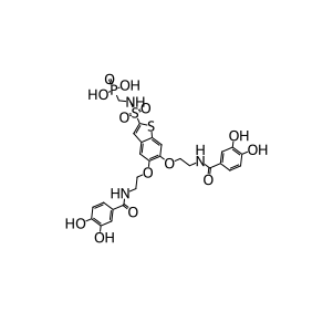 O=C(NCCOc1cc2cc(S(=O)(=O)NCP(=O)(O)O)sc2cc1OCCNC(=O)c1ccc(O)c(O)c1)c1ccc(O)c(O)c1